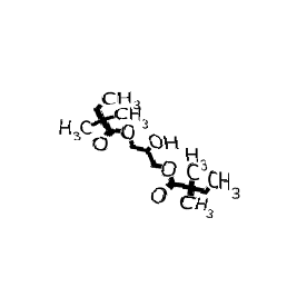 CCC(C)(C)C(=O)OCC(O)COC(=O)C(C)(C)CC